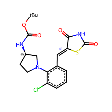 CC(C)(C)OC(=O)N[C@@H]1CCN(c2c(Cl)cccc2/C=C2\SC(=O)NC2=O)C1